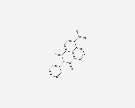 O=C1c2cccc3c([N+](=O)[O-])ccc(c23)C(=O)N1c1cccnc1